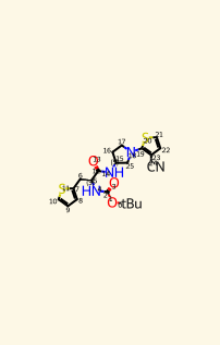 CC(C)(C)OC(=O)N[C@@H](Cc1cccs1)C(=O)N[C@H]1CCN(c2sccc2C#N)C1